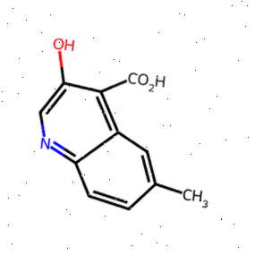 Cc1ccc2ncc(O)c(C(=O)O)c2c1